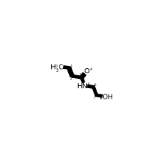 C/C=C/C(=O)NCCO